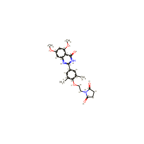 COc1cc(OC)c2c(=O)[nH]c(-c3cc(C)c(OCCN4C(=O)CCC4=O)c(C)c3)nc2c1